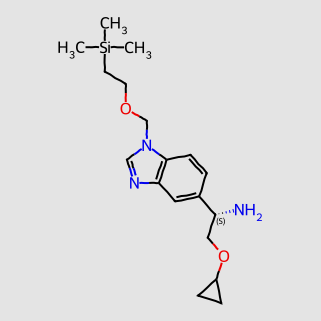 C[Si](C)(C)CCOCn1cnc2cc([C@H](N)COC3CC3)ccc21